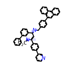 C=N/C(=C\C(=N/Cc1ccc(-c2cc3ccccc3c3ccccc23)cc1)c1cccc(-c2ccccc2)c1)c1ccc(-c2cccnc2)cc1